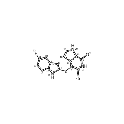 O=c1[nH]c(=S)n(Cc2cc3cc(F)ccc3[nH]2)c2cc[nH]c12